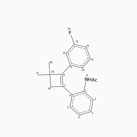 CC(=O)Nc1ccccc1C1=C(c2cccc(F)c2)C(C)(C)C1